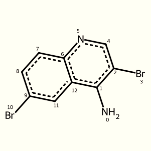 Nc1c(Br)cnc2ccc(Br)cc12